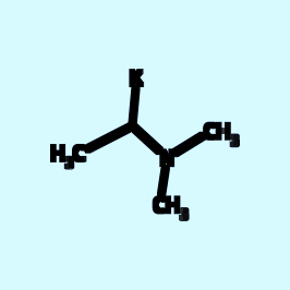 C[CH]([K])N(C)C